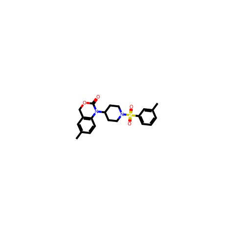 Cc1cccc(S(=O)(=O)N2CCC(N3C(=O)OCc4cc(C)ccc43)CC2)c1